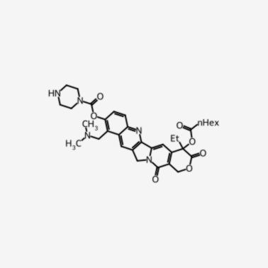 CCCCCCC(=O)OC1(CC)C(=O)OCc2c1cc1n(c2=O)Cc2cc3c(CN(C)C)c(OC(=O)N4CCNCC4)ccc3nc2-1